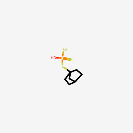 OP(=S)(S)SC12CCC(CC1)C2